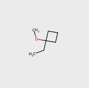 CCC1(OC)CCC1